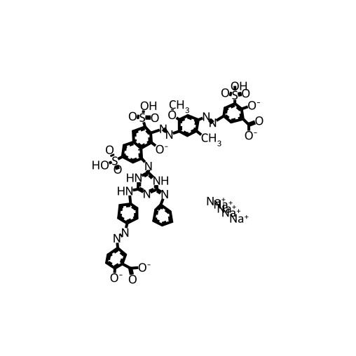 COc1cc(N=Nc2cc(C(=O)[O-])c([O-])c(S(=O)(=O)O)c2)c(C)cc1N=Nc1c(S(=O)(=O)O)cc2cc(S(=O)(=O)O)cc(N=c3[nH]c(Nc4ccc(N=Nc5ccc([O-])c(C(=O)[O-])c5)cc4)nc(=Nc4ccccc4)[nH]3)c2c1[O-].[Na+].[Na+].[Na+].[Na+].[Na+]